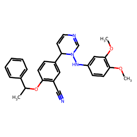 COc1ccc(NN2C=NC=CC2c2ccc(OC(C)c3ccccc3)c(C#N)c2)cc1OC